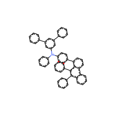 c1ccc(-c2cc(-c3ccccc3)cc(N(c3ccccc3)c3ccc(-c4cccc5c4c(-c4ccccc4)c(-c4ccccc4)c4ccccc45)cc3)c2)cc1